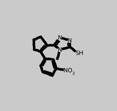 Cn1c(S)nnc1C1=C(c2cccc([N+](=O)[O-])c2)CCC1